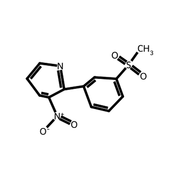 CS(=O)(=O)c1cccc(-c2ncccc2[N+](=O)[O-])c1